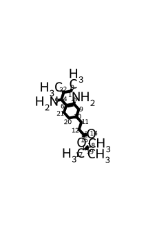 CCC(C)C(N)C1=C(N)CC(CCC(=O)OC(C)(C)C)CC1